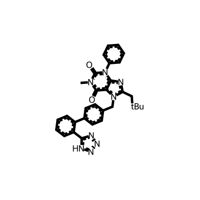 Cn1c(=O)c2c(nc(CC(C)(C)C)n2Cc2ccc(-c3ccccc3-c3nnn[nH]3)cc2)n(-c2ccccc2)c1=O